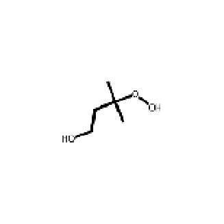 CC(C)(CCO)OO